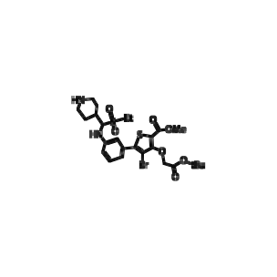 CCS(=O)(=O)C(Nc1cccc(-c2sc(C(=O)OC)c(OCC(=O)OC(C)(C)C)c2Br)c1)C1CCNCC1